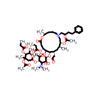 CCC(=O)O[C@@H]1CC(=O)O[C@H](C)CCCN(CCCCc2ccccc2)C[C@H](OC(C)=O)[C@H](C)C[C@H](CC=O)[C@H](O[C@@H]2OC(C)[C@@H](O[C@H]3CC(C)(OC(C)=O)[C@@H](OC(=O)CC)C(C)O3)C(N(C)C)C2O)[C@H]1OC